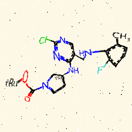 Cc1cccc(F)c1NCc1cnc(Cl)nc1N[C@H]1CCN(C(=O)OC(C)(C)C)C1